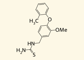 COc1cc(CNC(N)=S)ccc1Oc1ccccc1C